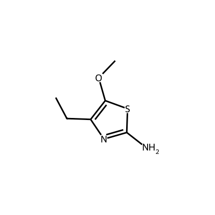 CCc1nc(N)sc1OC